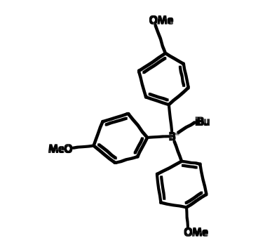 CCC(C)[B-](c1ccc(OC)cc1)(c1ccc(OC)cc1)c1ccc(OC)cc1